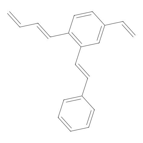 C=CC=Cc1ccc(C=C)cc1C=Cc1ccccc1